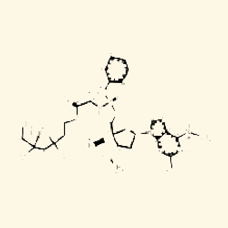 C#C[C@]1(COP(=O)(N[C@@H](C)C(=O)OCCC(C)(C)CC(C)(C)CC)Oc2ccccc2)O[C@@H](n2cnc3c(NC)nc(F)nc32)C[C@@H]1OC